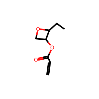 C=CC(=O)OC1COC1CC